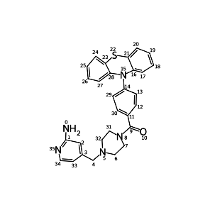 Nc1cc(CN2CCN(C(=O)c3ccc(N4c5ccccc5Sc5ccccc54)cc3)CC2)ccn1